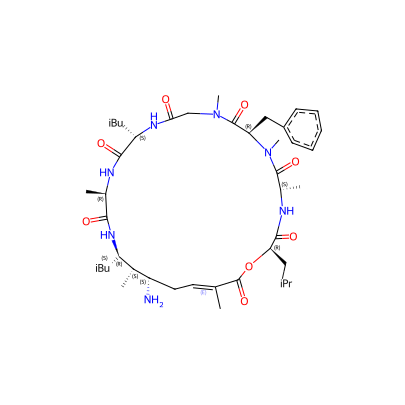 CCC(C)[C@@H]1NC(=O)CN(C)C(=O)[C@@H](Cc2ccccc2)N(C)C(=O)[C@H](C)NC(=O)[C@@H](CC(C)C)OC(=O)/C(C)=C/C[C@H](N)[C@H](C)[C@@H]([C@@H](C)CC)NC(=O)[C@@H](C)NC1=O